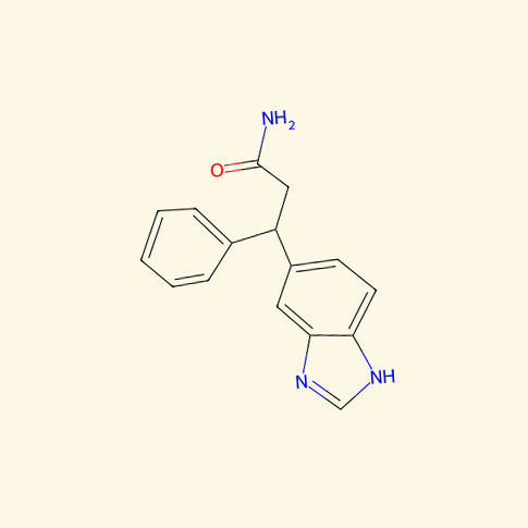 NC(=O)CC(c1ccccc1)c1ccc2[nH]cnc2c1